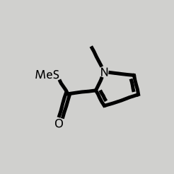 CSC(=O)c1cccn1C